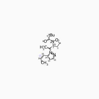 C=C([C@@H]1CCON1C(=O)C(C)(C)C)n1nccc1/C=C\C